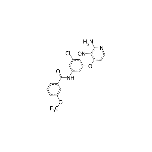 Nc1nccc(Oc2cc(Cl)cc(NC(=O)c3cccc(OC(F)(F)F)c3)c2)c1N=O